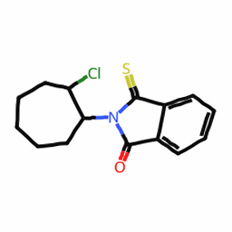 O=C1c2ccccc2C(=S)N1C1CCCCCC1Cl